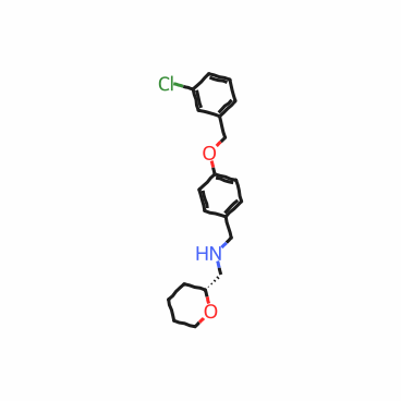 Clc1cccc(COc2ccc(CNC[C@H]3CCCCO3)cc2)c1